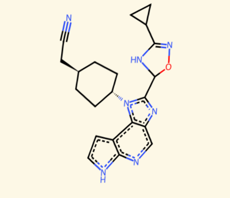 N#CC[C@H]1CC[C@H](n2c(C3NC(C4CC4)=NO3)nc3cnc4[nH]ccc4c32)CC1